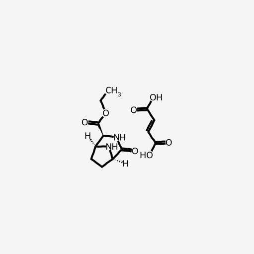 CCOC(=O)[C@H]1NC(=O)[C@H]2CC[C@@H]1N2.O=C(O)/C=C/C(=O)O